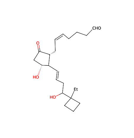 CCC1(C(O)C/C=C/C2[C@H](O)CC(=O)[C@@H]2C/C=C\CCCC=O)CCC1